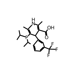 CC1=C(C(=O)O)C(c2cccc(C(F)(F)F)c2)C(P(C(C)C)C(C)C)=C(C)N1